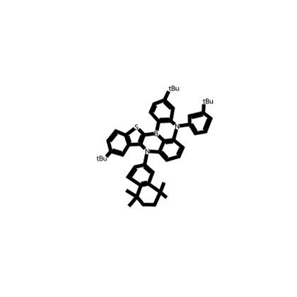 CC(C)(C)c1cccc(N2c3cc(C(C)(C)C)ccc3B3c4sc5ccc(C(C)(C)C)cc5c4N(c4ccc5c(c4)C(C)(C)CCC5(C)C)c4cccc2c43)c1